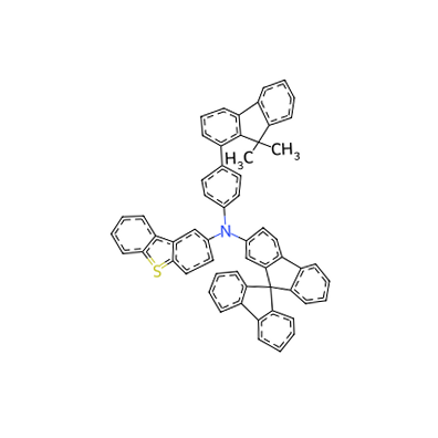 CC1(C)c2ccccc2-c2cccc(-c3ccc(N(c4ccc5c(c4)C4(c6ccccc6-c6ccccc64)c4ccccc4-5)c4ccc5sc6ccccc6c5c4)cc3)c21